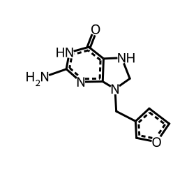 Nc1nc2c(c(=O)[nH]1)NCN2Cc1ccoc1